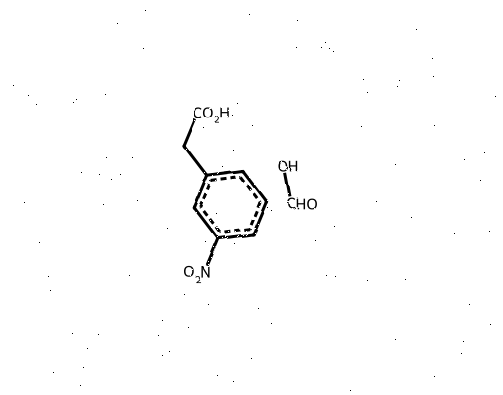 O=C(O)Cc1cccc([N+](=O)[O-])c1.O=CO